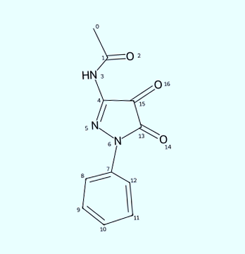 CC(=O)NC1=NN(c2ccccc2)C(=O)C1=O